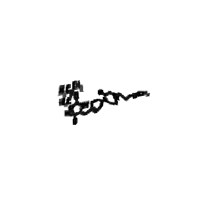 COCCCN1CCN(c2ccc(CC(NC(=O)OC(C)(C)C)C(=O)O)cc2)C(=O)C1